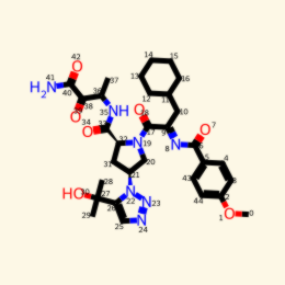 COc1ccc(C(=O)/N=C(\CC2CCCCC2)C(=O)N2C[C@@H](n3nncc3C(C)(C)O)C[C@H]2C(=O)NC(C)C(=O)C(N)=O)cc1